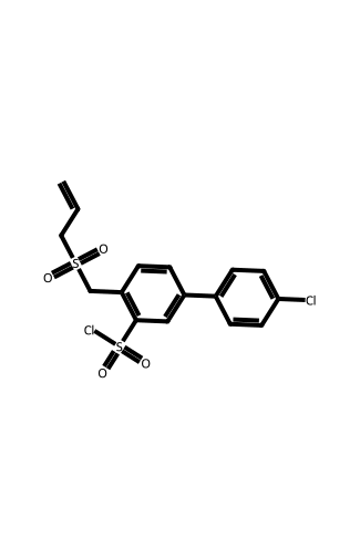 C=CCS(=O)(=O)Cc1ccc(-c2ccc(Cl)cc2)cc1S(=O)(=O)Cl